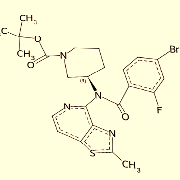 Cc1nc2c(N(C(=O)c3ccc(Br)cc3F)[C@@H]3CCCN(C(=O)OC(C)(C)C)C3)nccc2s1